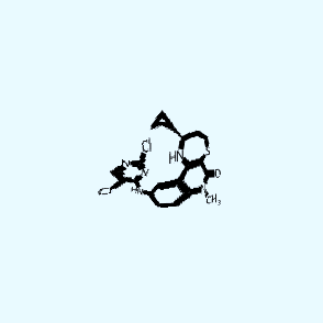 CN1C(=O)C2=C(N[C@@H](C3CC3)CCS2)C2=CC(Nc3nc(Cl)ncc3Cl)=CCC21